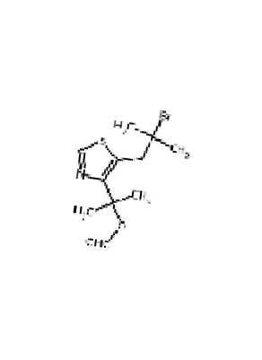 CC(C)(Br)Cc1scnc1C(C)(C)OC=O